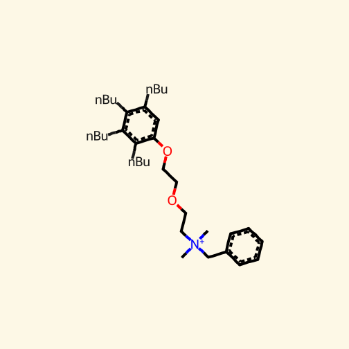 CCCCc1cc(OCCOCC[N+](C)(C)Cc2ccccc2)c(CCCC)c(CCCC)c1CCCC